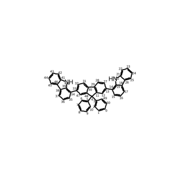 c1ccc(C2(c3ccccc3)c3cc(-c4cccc5c4[nH]c4ccccc45)ccc3-c3ccc(-c4cccc5c4[nH]c4ccccc45)cc32)cc1